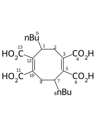 CCCCC1C/C(C(=O)O)=C(/C(=O)O)C(CCCC)C/C(C(=O)O)=C\1C(=O)O